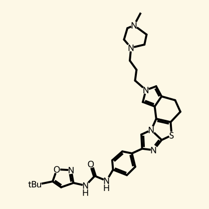 CN1CCN(CCCn2cc3c(c2)-c2c(sc4nc(-c5ccc(NC(=O)Nc6cc(C(C)(C)C)on6)cc5)cn24)CC3)CC1